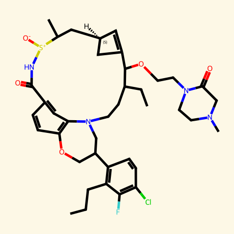 CCCc1c(C2COc3ccc4cc3N(CCC(CC)C(OCCN3CCN(C)CC3=O)C3=C[C@@H](C3)CC(C)[S+]([O-])NC4=O)C2)ccc(Cl)c1F